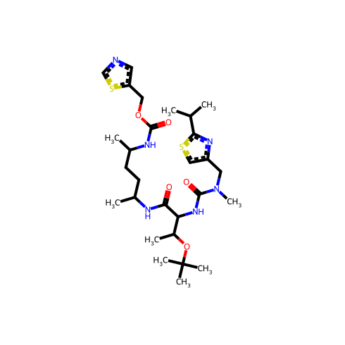 CC(CCC(C)NC(=O)C(NC(=O)N(C)Cc1csc(C(C)C)n1)C(C)OC(C)(C)C)NC(=O)OCc1cncs1